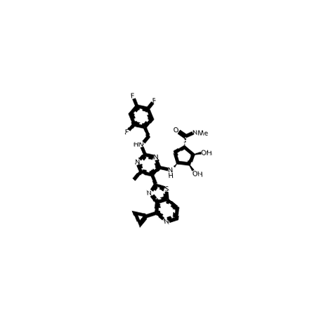 CNC(=O)[C@H]1C[C@@H](Nc2nc(NCc3cc(F)c(F)cc3F)nc(C)c2-c2nc3c(C4CC4)nccc3s2)[C@H](O)[C@@H]1O